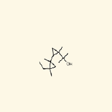 CCC1(C)CC1(C)C1CC1(C)C(C)(C)O